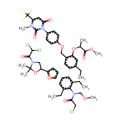 CC1(C)OC(c2ccco2)CN1C(=O)C(Cl)Cl.CCc1ccc(COc2ccc(-n3c(=O)cc(C(F)(F)F)n(C)c3=O)cc2)c(OC(C)C(=O)OC)c1.CCc1cccc(CC)c1N(COC)C(=O)CCl